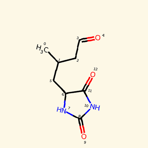 CC(CC=O)CC1NC(=O)NC1=O